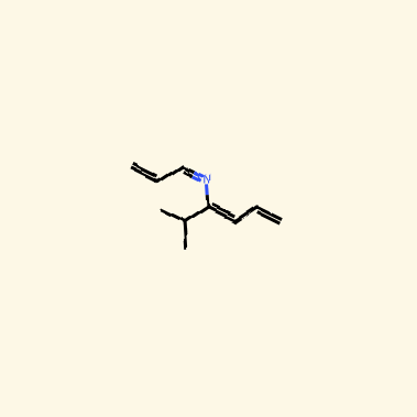 C=C/C=N\C(=C/C=C)C(C)C